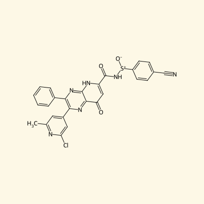 Cc1cc(-c2nc3c(=O)cc(C(=O)N[S+]([O-])c4ccc(C#N)cc4)[nH]c3nc2-c2ccccc2)cc(Cl)n1